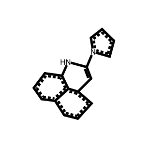 C1=C(n2cccc2)Nc2cccc3cccc1c23